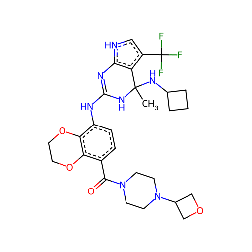 CC1(NC2CCC2)NC(Nc2ccc(C(=O)N3CCN(C4COC4)CC3)c3c2OCCO3)=Nc2[nH]cc(C(F)(F)F)c21